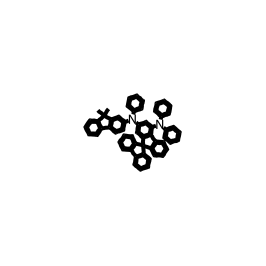 CC1(C)c2ccccc2-c2ccc(N(c3ccccc3)c3cc(N(c4ccccc4)c4ccccc4)c4c(c3)C3(c5ccccc5-c5ccccc53)c3ccccc3-4)cc21